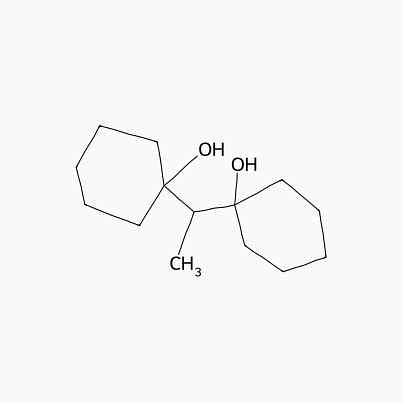 CC(C1(O)CCCCC1)C1(O)CCCCC1